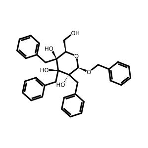 OC[C@H]1O[C@@H](OCc2ccccc2)[C@@](O)(Cc2ccccc2)[C@](O)(Cc2ccccc2)[C@]1(O)Cc1ccccc1